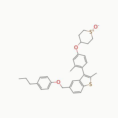 CCCc1ccc(OCc2ccc3sc(C)c(-c4ccc(OC5CC[S+]([O-])CC5)cc4C)c3c2)cc1